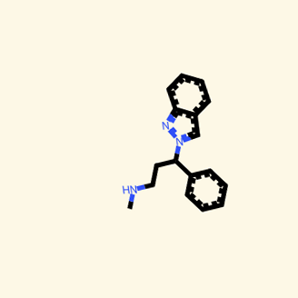 CNCCC(c1ccccc1)n1cc2ccccc2n1